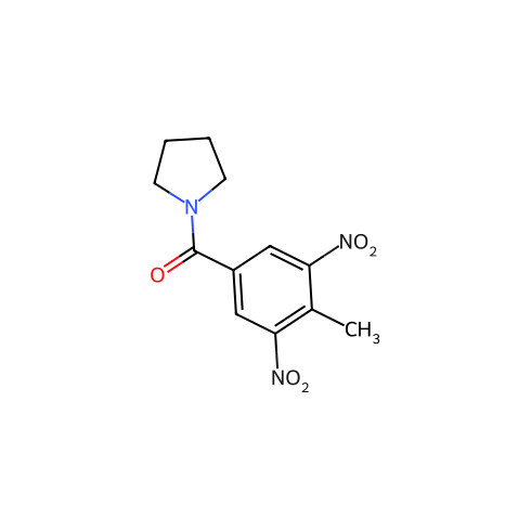 Cc1c([N+](=O)[O-])cc(C(=O)N2CCCC2)cc1[N+](=O)[O-]